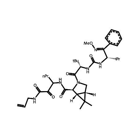 C=CCNC(=O)C(=O)C(CCC)NC(=O)[C@@H]1[C@@H]2[C@H](CN1C(=O)[C@@H](NC(=O)N[C@H](/C(=N/OC)c1ccccc1)C(C)C)C(C)(C)C)C2(C)C